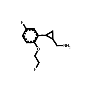 NCC1CC1c1cc(F)ccc1OCCF